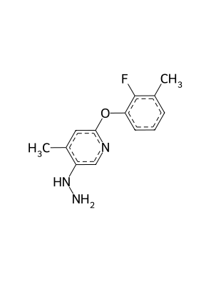 Cc1cc(Oc2cccc(C)c2F)ncc1NN